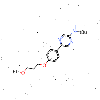 CCOCCCOc1ccc(-c2cnc(NC(C)(C)C)cn2)cc1